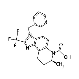 C[C@H]1CCc2c(ccc3c2nc(C(F)(F)F)n3Cc2ccccc2)N1C(=O)O